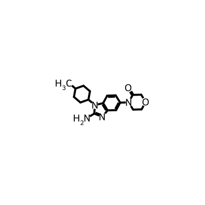 CC1CCC(n2c(N)nc3cc(N4CCOCC4=O)ccc32)CC1